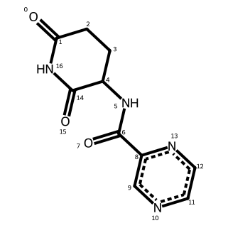 O=C1CCC(NC(=O)c2cnccn2)C(=O)N1